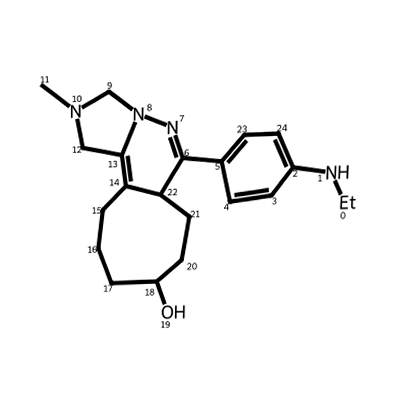 CCNc1ccc(C2=NN3CN(C)CC3=C3CCCC(O)CCC23)cc1